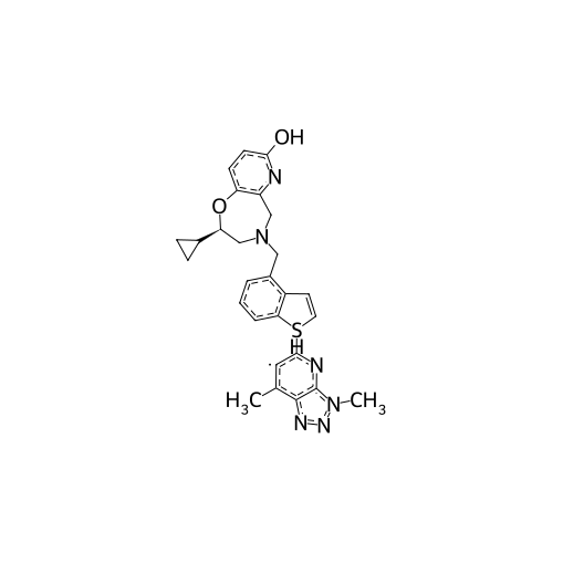 Cc1[c]c([SH]2C=Cc3c(CN4Cc5nc(O)ccc5O[C@H](C5CC5)C4)cccc32)nc2c1nnn2C